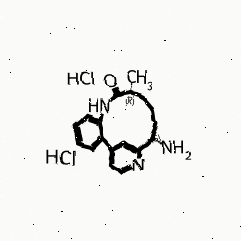 C[C@@H]1CCC[C@H](N)c2cc(ccn2)-c2ccccc2NC1=O.Cl.Cl